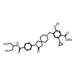 CCOc1cc(C(=O)OC)c(C2CC2)cc1CN1CCC2(CC1)CC(=O)N(c1ccc(C(=O)NC(CO)CO)cc1)C2